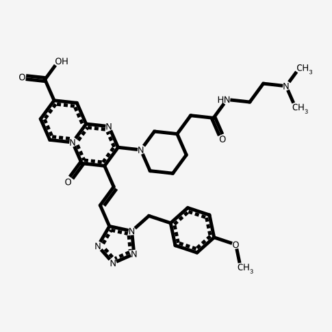 COc1ccc(Cn2nnnc2C=Cc2c(N3CCCC(CC(=O)NCCN(C)C)C3)nc3cc(C(=O)O)ccn3c2=O)cc1